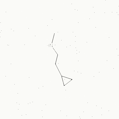 CNCCC1CC1